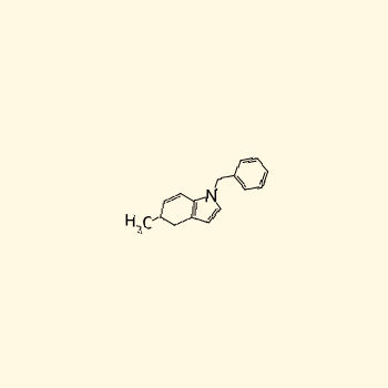 CC1C=Cc2c(ccn2Cc2ccccc2)C1